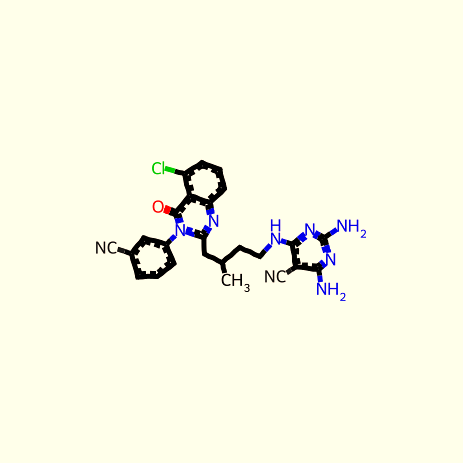 CC(CCNc1nc(N)nc(N)c1C#N)Cc1nc2cccc(Cl)c2c(=O)n1-c1cccc(C#N)c1